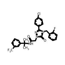 CC(C)(NC(=O)Cn1nc(-c2ccc(Cl)cc2)n(Cc2ccccc2F)c1=O)c1cccc(C(F)(F)F)c1